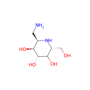 NC[C@H]1N[C@H](CO)C(O)[C@H](O)[C@H]1O